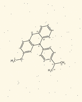 COc1ccc2c(c1)N(c1ccc(C(C)C)cc1)c1ccccc1S2